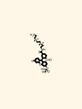 C[N+](C)(CCN)CC[N+](C)(C)CCNC(=S)c1ccc(C=O)c(-c2c3ccc(=O)cc-3oc3cc(OP(=O)(O)O)ccc23)c1